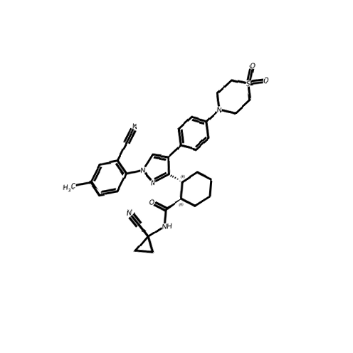 Cc1ccc(-n2cc(-c3ccc(N4CCS(=O)(=O)CC4)cc3)c([C@@H]3CCCC[C@H]3C(=O)NC3(C#N)CC3)n2)c(C#N)c1